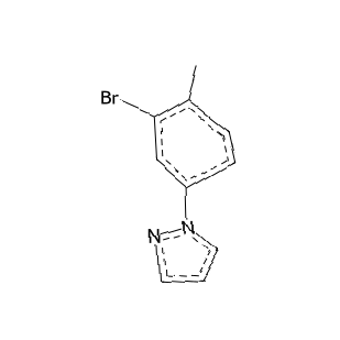 Cc1ccc(-n2cccn2)cc1Br